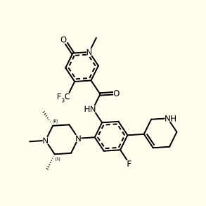 C[C@@H]1CN(c2cc(F)c(C3=CCCNC3)cc2NC(=O)c2cn(C)c(=O)cc2C(F)(F)F)C[C@H](C)N1C